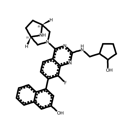 Oc1cc(-c2ccc3c(N4C[C@H]5CC[C@@H](C4)N5)nc(NCC4CCCC4O)nc3c2F)c2ccccc2c1